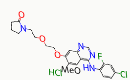 COc1cc2c(Nc3ccc(Cl)cc3F)ncnc2cc1OCCOCCN1CCCC1=O.Cl